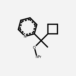 CCCOC(C)(c1ccccn1)C1CCC1